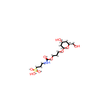 O=C(NCCCS(=O)(=O)O)OCCCO[C@H]1C[C@@H](O)C[C@@H](CO)O1